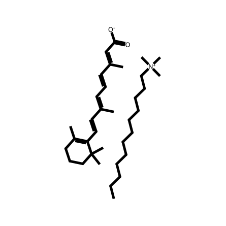 CC1=C(/C=C/C(C)=C/C=C/C(C)=C/C(=O)[O-])C(C)(C)CCC1.CCCCCCCCCCCC[N+](C)(C)C